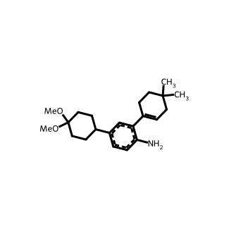 COC1(OC)CCC(c2ccc(N)c(C3=CCC(C)(C)CC3)c2)CC1